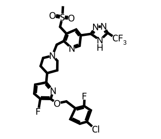 CS(=O)(=O)Cc1cc(-c2nnc(C(F)(F)F)[nH]2)cnc1CN1CCC(c2ccc(F)c(OCc3ccc(Cl)cc3F)n2)CC1